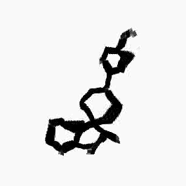 Cc1ccc(N2CCC3(CC2)C(=O)Nc2ncncc23)nc1